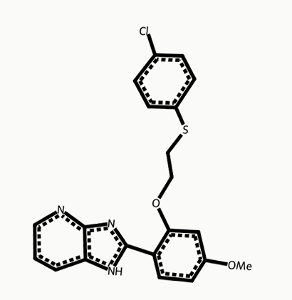 COc1ccc(-c2nc3ncccc3[nH]2)c(OCCSc2ccc(Cl)cc2)c1